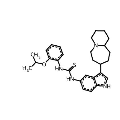 CC(C)Oc1ccccc1NC(=S)Nc1ccc2[nH]cc(C3CCC4CCCCN4CC3)c2c1